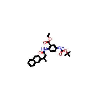 CCOC(=O)c1cc(NC(=O)OC(C)(C)C)ccc1NC(=O)/C=C(/C)c1ccc2ccccc2c1